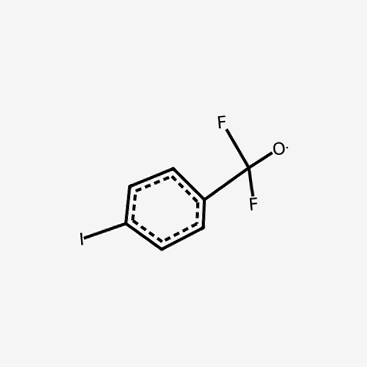 [O]C(F)(F)c1ccc(I)cc1